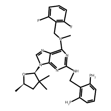 C[C@@H]1CC(C)(C)[C@H](n2cnc3c(N(C)Cc4c(F)cccc4F)nc(NCc4c(P)cccc4P)nc32)O1